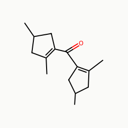 CC1=C(C(=O)C2=C(C)CC(C)C2)CC(C)C1